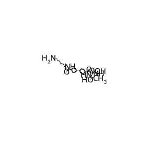 C[C@@H](O)[C@H](NC(=O)c1ccc(-c2ccc(C(=O)NCCCCCCN)cc2)cc1)C(=O)NO